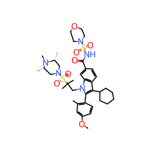 COc1ccc(-c2c(C3CCCCC3)c3ccc(C(=O)NS(=O)(=O)N4CCOCC4)cc3n2CC(C)(C)S(=O)(=O)N2C[C@@H](C)N(C)[C@@H](C)C2)c(C)c1